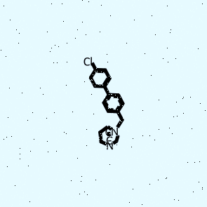 ClC1=CC=C(c2ccc(CN3CCN4CCC3CC4)cc2)CC1